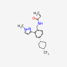 C=CC(=O)NCc1ccc([C@H]2CC[C@@H](C(F)(F)F)CC2)cc1-c1ccn(C)n1